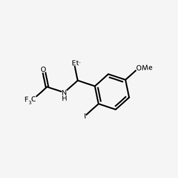 C[CH]C(NC(=O)C(F)(F)F)c1cc(OC)ccc1I